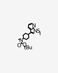 CN(C(=O)OC(C)(C)C)C1CCC(c2cn(SI)c3ncccc23)CC1